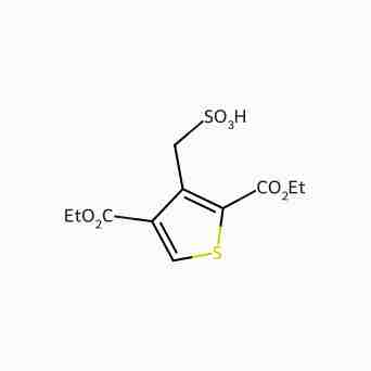 CCOC(=O)c1csc(C(=O)OCC)c1CS(=O)(=O)O